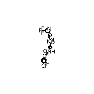 O=C(COc1ccc(Cl)c(F)c1)NC12CC(c3nc(COC4CN=CC(C(F)(F)F)C4)no3)(C1)C2